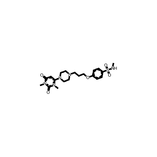 CNS(=O)(=O)c1ccc(OCCCN2CCN(c3cc(=O)n(C)c(=O)n3C)CC2)cc1